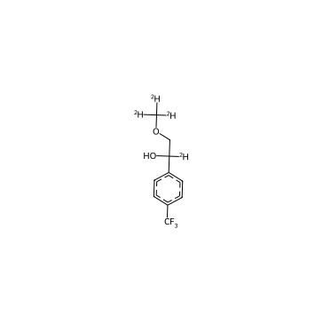 [2H]C([2H])([2H])OCC([2H])(O)c1ccc(C(F)(F)F)cc1